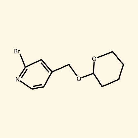 Brc1cc(COC2CCCCO2)ccn1